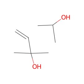 C=CC(C)(C)O.CC(C)O